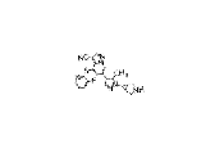 Cc1c(-c2cc(Sc3ncccc3F)c3c(C#N)cnn3c2)cnn1C1C2CNCC21